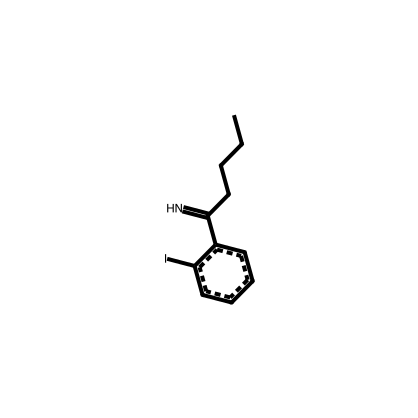 CCCCC(=N)c1ccccc1I